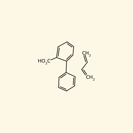 C=CC=C.O=C(O)c1ccccc1-c1ccccc1